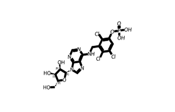 O=P(O)(O)Oc1cc(Cl)c(Cl)c(CNc2ncnc3c2ncn3[C@@H]2O[C@H](CO)[C@@H](O)[C@H]2O)c1Cl